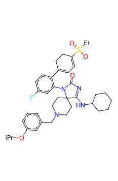 CCS(=O)(=O)C1=CC=C(c2ccc(F)cc2N2C(=O)N=C(NC3CCCCC3)C23CCN(Cc2cccc(OC(C)C)c2)CC3)CC1